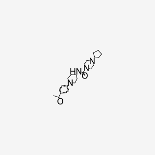 CC(=O)c1ccc(N2CCC(NC(=O)N3CCN(C4CCCC4)CC3)CC2)cc1